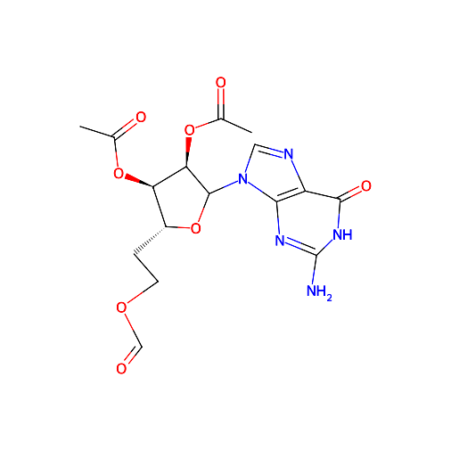 CC(=O)O[C@@H]1[C@@H](CCOC=O)OC(n2cnc3c(=O)[nH]c(N)nc32)[C@@H]1OC(C)=O